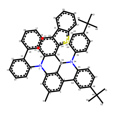 Cc1cc2c3c(c1)N(c1ccccc1-c1ccccc1)c1ccc4c(sc5ccccc54)c1B3N(c1ccc(C(C)(C)C)cc1)c1ccc(C(C)(C)C)cc1-2